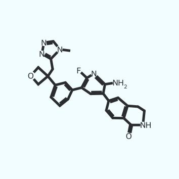 Cn1cnnc1CC1(c2cccc(-c3cc(-c4ccc5c(c4)CCNC5=O)c(N)nc3F)c2)COC1